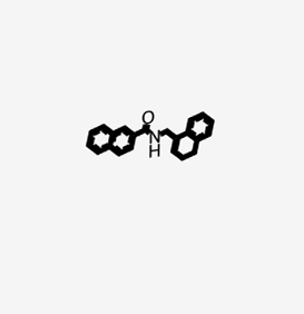 O=C(NCC1=CCCc2ccccc21)c1ccc2ccccc2c1